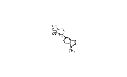 CN1CC[C@@H](c2ccc3c(c2)ncn3C)NS1(=O)=O